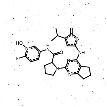 CC(C)c1cc(Nc2nc(N3CCCC3C(=O)Nc3ccc(F)[n+](O)c3)nc3c2CCC3)n[nH]1